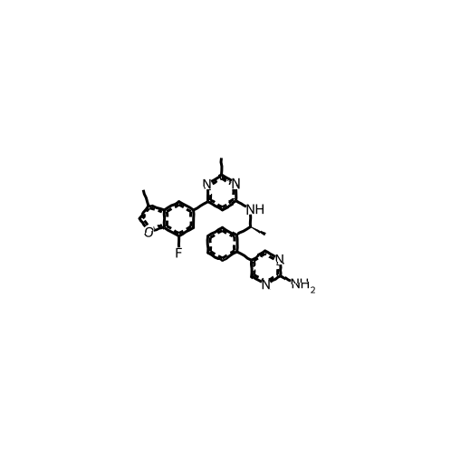 Cc1nc(N[C@@H](C)c2ccccc2-c2cnc(N)nc2)cc(-c2cc(F)c3occ(C)c3c2)n1